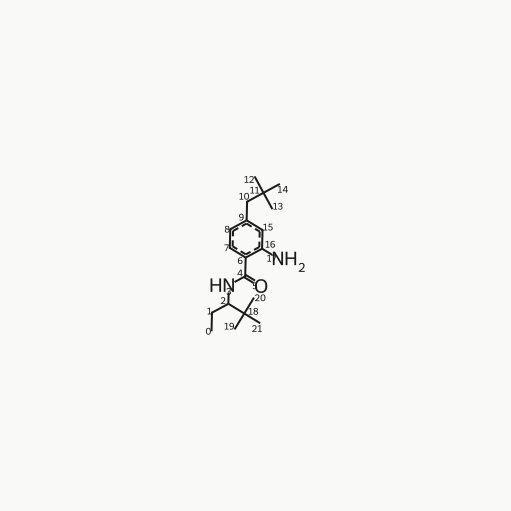 CCC(NC(=O)c1ccc(CC(C)(C)C)cc1N)C(C)(C)C